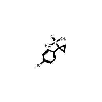 CP(C)(=O)C1(c2ccc(O)cc2)CC1